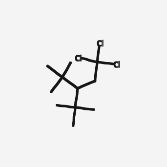 CC(C)(C)C(CC(Cl)(Cl)Cl)C(C)(C)C